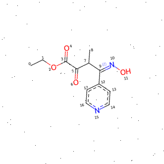 CCOC(=O)C(=O)C(C)/C(=N/O)c1ccncc1